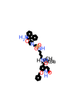 CC(C)(C)[Si](C)(C)O[C@H](CNCCCCCNS(=O)(=O)CCN1CC[C@@H](C(C(N)=O)(c2ccccc2)c2ccccc2)C1)c1ccc(OCc2ccccc2)c2[nH]c(=O)ccc12